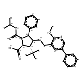 COc1ncc(-c2ccccc2)cc1CO[C@H]1[C@H](C(C)(C)C)[C@@H](C(=O)O)N(C(=O)OC(C)C)[C@H]1c1ccccc1